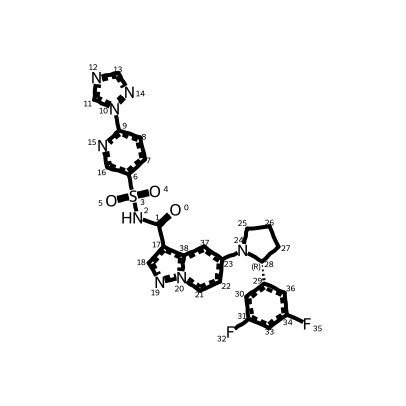 O=C(NS(=O)(=O)c1ccc(-n2cncn2)nc1)c1cnn2ccc(N3CCC[C@@H]3c3cc(F)cc(F)c3)cc12